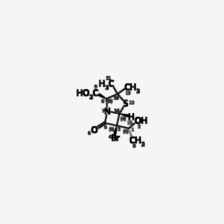 C[C@@H](O)[C@]1(Br)C(=O)N2[C@@H](C(=O)O)C(C)(C)S[C@@H]21